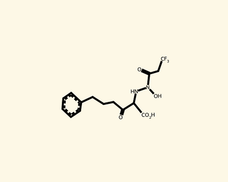 O=C(O)C(NN(O)C(=O)CC(F)(F)F)C(=O)CCCc1ccccc1